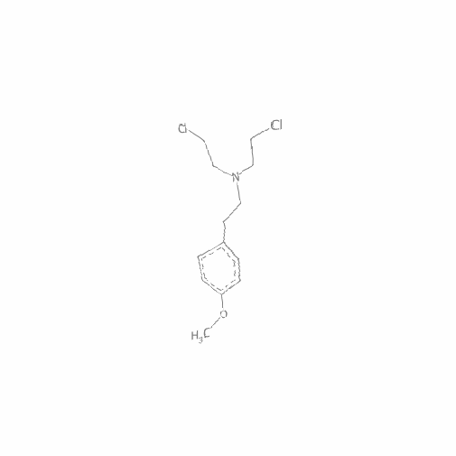 COc1ccc(CCN(CCCl)CCCl)cc1